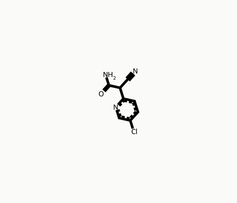 N#CC(C(N)=O)c1ccc(Cl)cn1